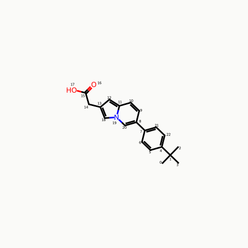 CC(C)(C)c1ccc(-c2ccc3cc(CC(=O)O)cn3c2)cc1